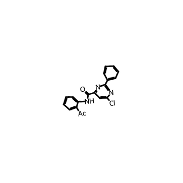 CC(=O)c1ccccc1NC(=O)c1cc(Cl)nc(-c2ccccc2)n1